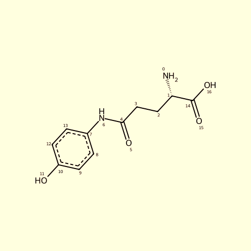 N[C@@H](CCC(=O)Nc1ccc(O)cc1)C(=O)O